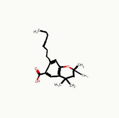 CCCCCc1cc2c(cc1C(=O)O)C(C)(C)CC(C)(C)O2